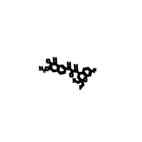 CN1Cc2ccc(NC(=O)N[C@@H]3CC(CF)(CF)Oc4cc(F)ccc43)cc2NC1=O